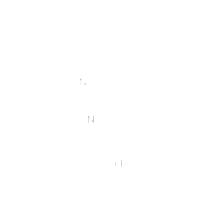 CCCCc1cnc2c(ccc3cccnc32)c1